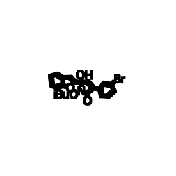 CC(C)CON1C(=O)C(c2cccc(Br)c2)=CC1(O)c1cc2ccccc2o1